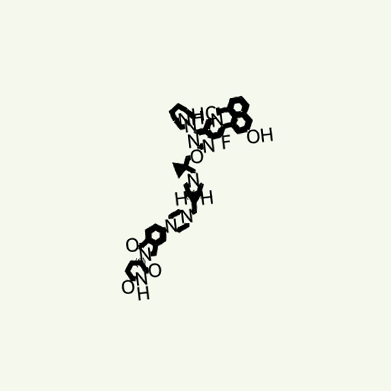 C#Cc1cccc2cc(O)cc(-c3ncc4c(N5CC6CCC(C5)N6)nc(OCC5(CN6C[C@@H]7C(CN8CCN(c9ccc%10c(c9)CN([C@H]9CCC(=O)NC9=O)C%10=O)CC8)[C@@H]7C6)CC5)nc4c3F)c12